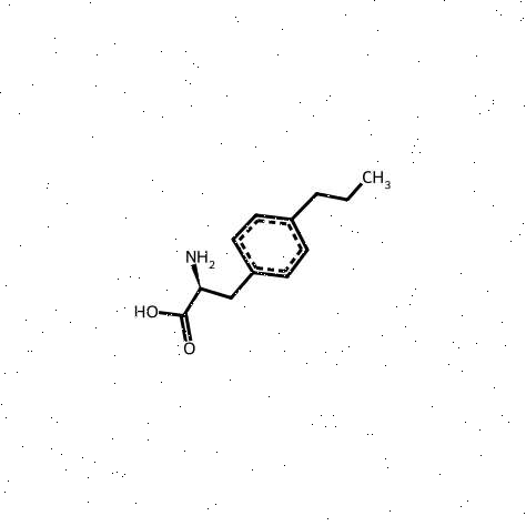 CCCc1ccc(C[C@H](N)C(=O)O)cc1